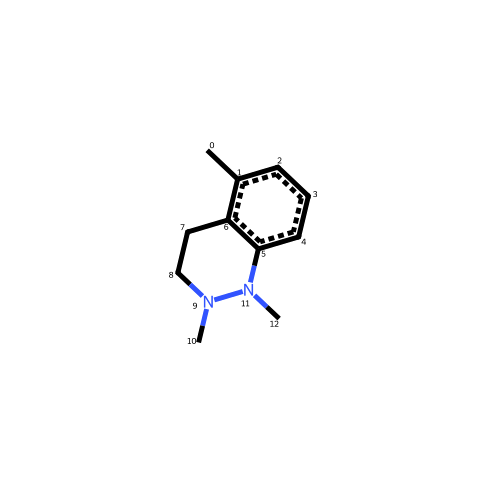 Cc1cccc2c1CCN(C)N2C